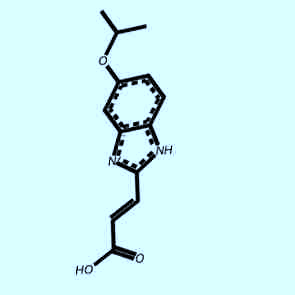 CC(C)Oc1ccc2[nH]c(C=CC(=O)O)nc2c1